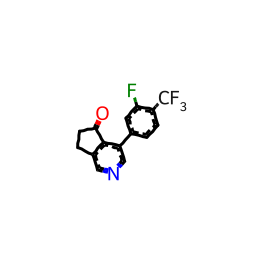 O=C1CCc2cncc(-c3ccc(C(F)(F)F)c(F)c3)c21